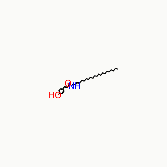 CCCCCCCCCCCCCCCCCCCCCCNC(=O)C=Cc1ccc(O)cc1